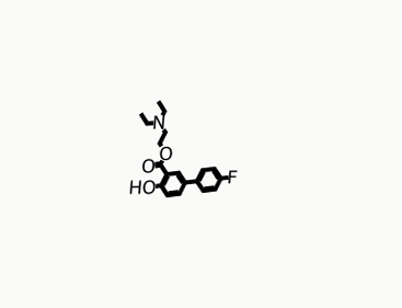 CCN(CC)CCOC(=O)c1cc(-c2ccc(F)cc2)ccc1O